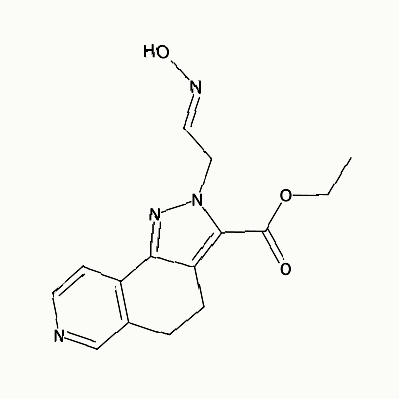 CCOC(=O)c1c2c(nn1CC=NO)-c1ccncc1CC2